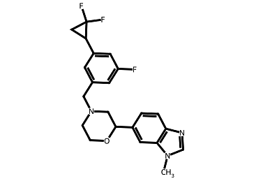 Cn1cnc2ccc(C3CN(Cc4cc(F)cc(C5CC5(F)F)c4)CCO3)cc21